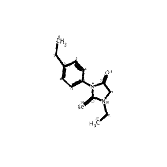 CCc1ccc(N2C(=O)CN(CC)C2=[Se])cc1